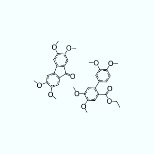 CCOC(=O)c1cc(OC)c(OC)cc1-c1ccc(OC)c(OC)c1.COc1cc2c(cc1OC)-c1cc(OC)c(OC)cc1C2=O